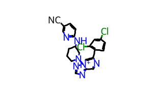 N#Cc1ccc(NC2CCCN([N+]34C=C(c5ccc(Cl)cc5Cl)N=CC3=NC=N4)C2)nc1